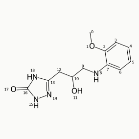 COc1ccccc1NCC(O)Cc1n[nH]c(=O)[nH]1